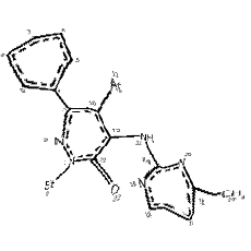 CCn1nc(-c2ccccc2)c(C(C)=O)c(Nc2nccc(C)n2)c1=O